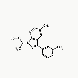 CCOC(C)n1nc(-c2ccnc(C)c2)c2cc(C)cnc21